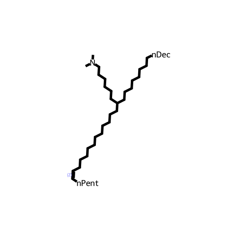 CCCCC/C=C\CCCCCCCCCCCC(CCCCCCCCCCCCCCCCCC)CCCCCCN(C)C